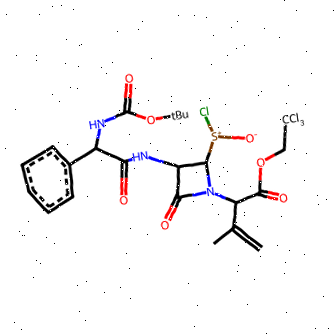 C=C(C)C(C(=O)OCC(Cl)(Cl)Cl)N1C(=O)C(NC(=O)C(NC(=O)OC(C)(C)C)c2ccccc2)C1[S+]([O-])Cl